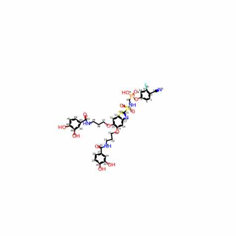 N#Cc1ccc(OP(=O)(O)CNS(=O)(=O)c2nc3cc(OCCCNC(=O)c4ccc(O)c(O)c4)c(OCCCNC(=O)c4ccc(O)c(O)c4)cc3s2)cc1F